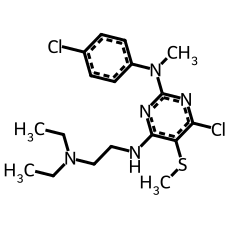 CCN(CC)CCNc1nc(N(C)c2ccc(Cl)cc2)nc(Cl)c1SC